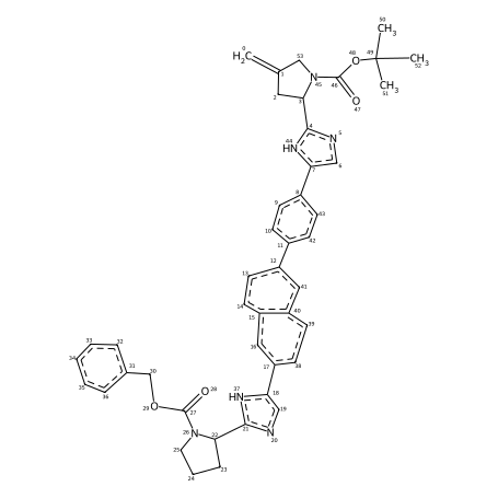 C=C1CC(c2ncc(-c3ccc(-c4ccc5cc(-c6cnc(C7CCCN7C(=O)OCc7ccccc7)[nH]6)ccc5c4)cc3)[nH]2)N(C(=O)OC(C)(C)C)C1